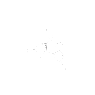 Bc1ccc(-c2sc(Br)cc2P(=O)(OCC)OCC)s1